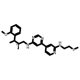 COc1ccccc1C(C)[C@H](C)CNc1cc(-c2ccnc(NCCSC)c2)ncn1